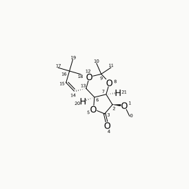 CO[C@H]1C(=O)O[C@@H]2[C@H]1OC(C)(C)O[C@H]2/C=C\C(C)(C)C